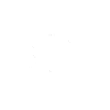 Cc1nc(-c2ccc(OCC(C)C)c(C#N)c2)sc1C(=O)NCC1(N(C)C)CCCC1.Cl